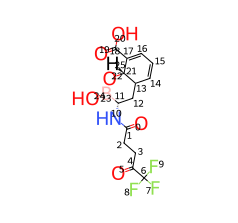 O=C(CCC(=O)C(F)(F)F)N[C@H]1CC2C=CC=C(C(=O)O)[C@H]2OB1O